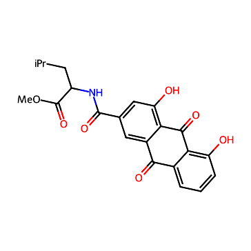 COC(=O)C(CC(C)C)NC(=O)c1cc(O)c2c(c1)C(=O)c1cccc(O)c1C2=O